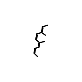 C\C=C/C=C(C)\C=C/C(C)=C/C